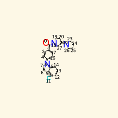 O=C(c1ccc(-n2ccc3c(F)cccc32)cc1)N1CC[C@H](N2CCCC2)C1